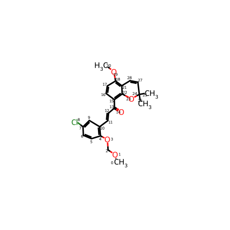 COCOc1ccc(Cl)cc1/C=C/C(=O)c1ccc(OC)c2c1OC(C)(C)C=C2